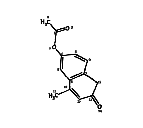 CC(=O)Oc1ccc2c(c1)C(C)=CC(=O)C2